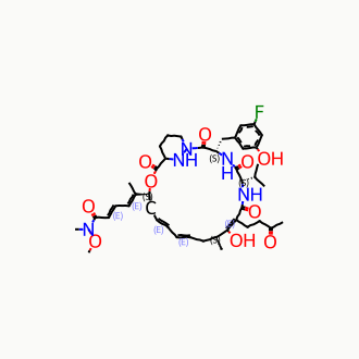 CON(C)C(=O)/C=C/C=C(\C)[C@@H]1C/C=C/C=C/C[C@H](C)/C(O)=C(/CCC(C)=O)C(=O)N[C@@H](C(C)C)C(=O)N[C@@H](Cc2cc(O)cc(F)c2)C(=O)N2CCCC(N2)C(=O)O1